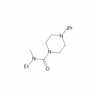 CCN(C)C(=O)N1CCN(C(C)C)CC1